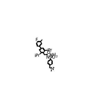 Cc1cc(-c2cc(C(C)C)c(CC(=O)N=S(N)(=O)c3ccc(CN(C)C)cc3)c(C(C)C)c2)ccc1F